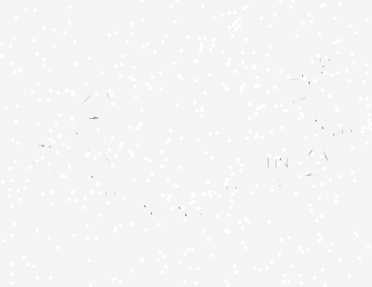 O=C1CCC(N2Cc3c(NC(=O)CCOCCC(=O)N4CCN(CCOc5ccc(/C(=C(/CCCl)c6ccccc6)c6ccccc6)cc5)CC4)cccc3C2=O)C(=O)N1